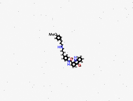 COc1ccc(CCCNCCCCc2ccc(NC(=O)c3cccc4c(=O)c5ccccc5[nH]c34)cc2)cc1